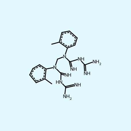 Cc1ccccc1N(CN(C(=N)NC(=N)N)c1ccccc1C)C(=N)NC(=N)N